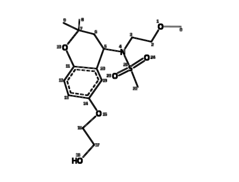 COCCN(C1CC(C)(C)Oc2ccc(OCCO)cc21)S(C)(=O)=O